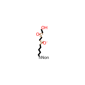 CCCCCCCCCCCCCC[S+]([O-])CC[S+]([O-])CCO